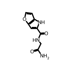 NC(=O)CNC(=O)c1cc2occc2[nH]1